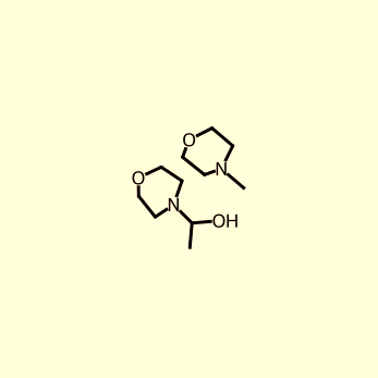 CC(O)N1CCOCC1.CN1CCOCC1